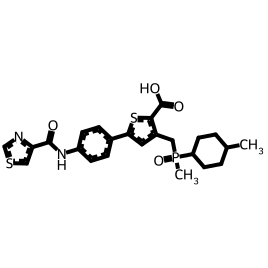 CC1CCC(P(C)(=O)Cc2cc(-c3ccc(NC(=O)c4cscn4)cc3)sc2C(=O)O)CC1